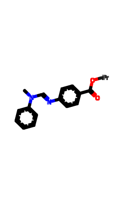 CC(C)OC(=O)c1ccc(N=CN(C)c2ccccc2)cc1